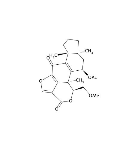 COC[C@H]1OC(=O)c2coc3c2[C@@]1(C)C1=C(C3=O)[C@]2(C)CCC[C@@]2(C)C[C@H]1OC(C)=O